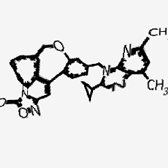 Cc1cc(C)c2nc(C3CC3)n(Cc3ccc4c(c3)OCc3ccccc3C4=Cc3noc(=O)[nH]3)c2n1